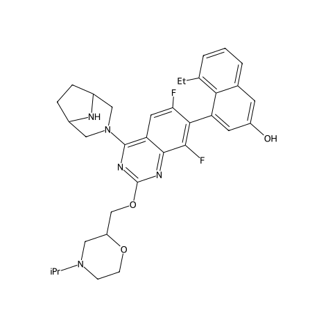 CCc1cccc2cc(O)cc(-c3c(F)cc4c(N5CC6CCC(C5)N6)nc(OCC5CN(C(C)C)CCO5)nc4c3F)c12